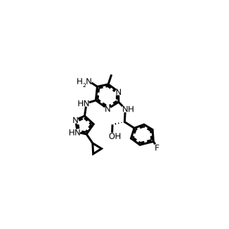 Cc1nc(N[C@@H](CO)c2ccc(F)cc2)nc(Nc2cc(C3CC3)[nH]n2)c1N